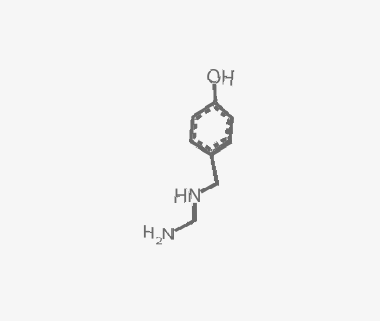 NCNCc1ccc(O)cc1